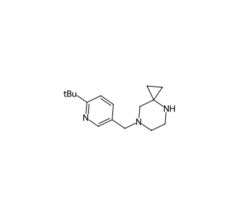 CC(C)(C)c1ccc(CN2CCNC3(CC3)C2)cn1